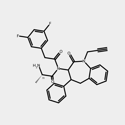 C#CCN1C(=O)C(N(C(=O)Cc2cc(F)cc(F)c2)C(=O)[C@H](C)N)C(c2ccccc2)Cc2ccccc21